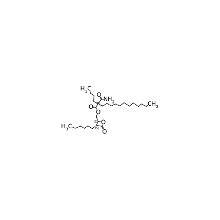 CCCCCCCCCCCC[C@@](CCCC)(C(N)=O)C(=O)OC[C@H]1OC(=O)[C@H]1CCCCCC